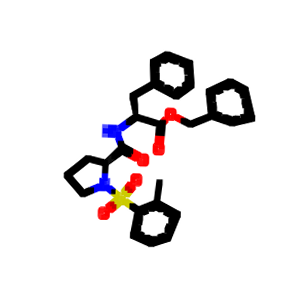 Cc1ccccc1S(=O)(=O)N1CCC[C@H]1C(=O)N[C@@H](Cc1ccccc1)C(=O)OCc1ccccc1